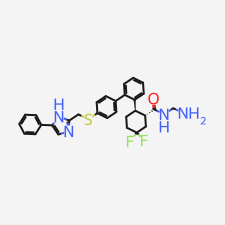 NCNC(=O)[C@@H]1CC(F)(F)CC[C@H]1c1ccccc1-c1ccc(SCc2ncc(-c3ccccc3)[nH]2)cc1